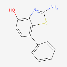 Nc1nc2c(O)ccc(-c3ccccc3)c2s1